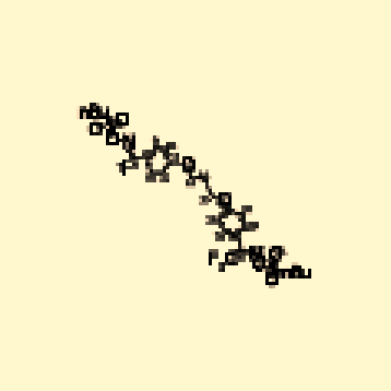 CCCCS(=O)(=O)O/N=C(\F)c1ccc(OCCCOc2ccc(/C(=N/OS(=O)(=O)CCCC)C(F)(F)F)cc2)cc1